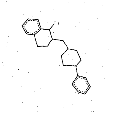 OC1c2ccccc2CCC1CN1CCN(c2ccccc2)CC1